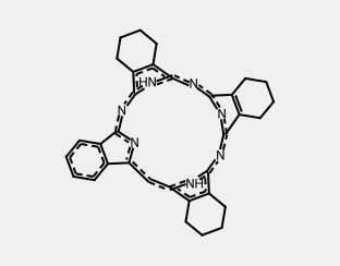 c1ccc2c(c1)-c1cc3[nH]c(nc4nc(nc5[nH]c(nc-2n1)c1c5CCCC1)C1=C4CCCC1)c1c3CCCC1